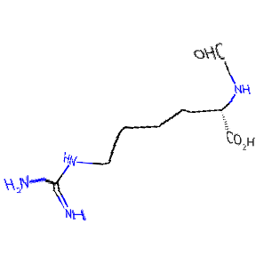 N=C(N)NCCCC[C@H](NC=O)C(=O)O